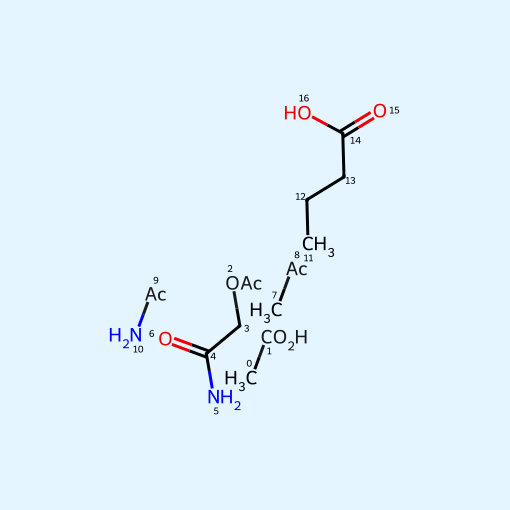 CC(=O)O.CC(=O)OCC(N)=O.CC(C)=O.CC(N)=O.CCCC(=O)O